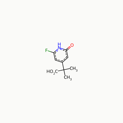 CC(C)(C(=O)O)c1cc(F)[nH]c(=O)c1